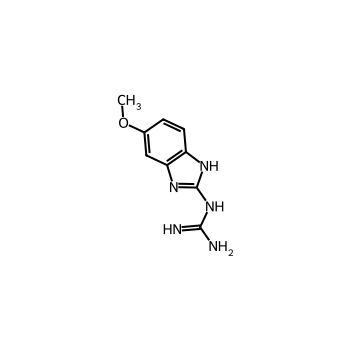 COc1ccc2[nH]c(NC(=N)N)nc2c1